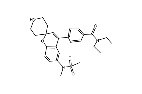 CCN(CC)C(=O)c1ccc(C2=CC3(CCNCC3)Oc3ccc(N(C)S(C)(=O)=O)cc32)cc1